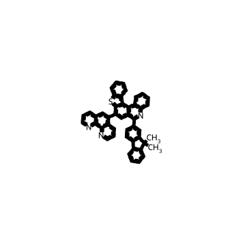 CC1(C)c2ccccc2-c2ccc(-c3nc4ccccc4c4c3cc(-c3cc5cccnc5c5ncccc35)c3sc5ccccc5c34)cc21